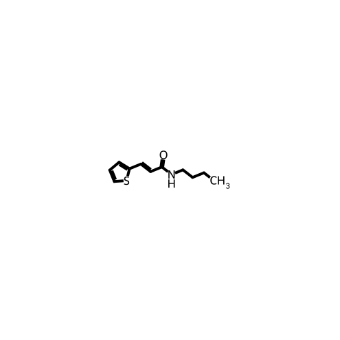 CCCCNC(=O)C=Cc1cccs1